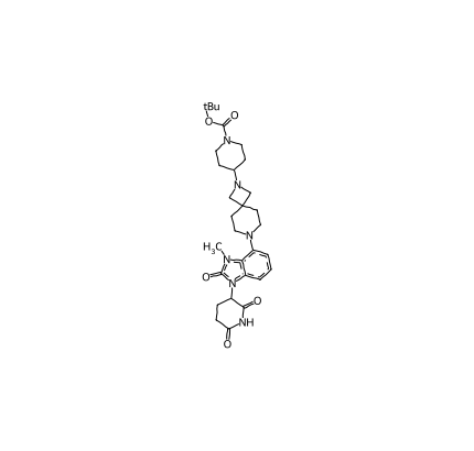 Cn1c(=O)n(C2CCC(=O)NC2=O)c2cccc(N3CCC4(CC3)CN(C3CCN(C(=O)OC(C)(C)C)CC3)C4)c21